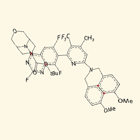 COc1ccc(CN(Cc2ccc(OC)cc2)c2cc(C)c(C(F)(F)F)c(-c3c(F)cc4c(N5C6COCC5CN(C(=O)OC(C)(C)C)C6)nc(F)nc4c3F)n2)cc1